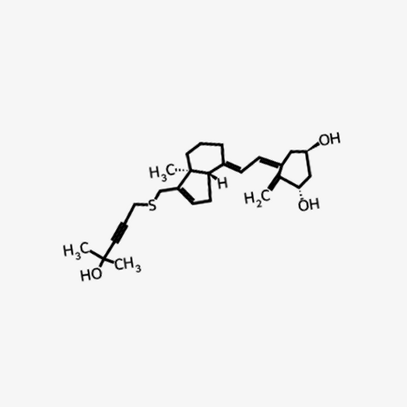 C=C1C(=CC=C2CCC[C@]3(C)C(CSCC#CC(C)(C)O)=CC[C@@H]23)C[C@@H](O)C[C@@H]1O